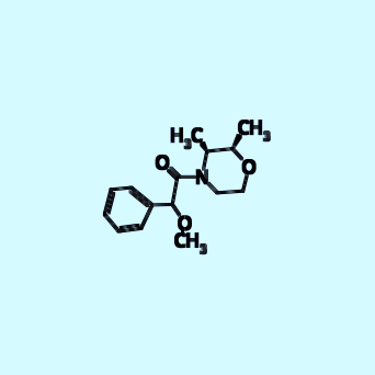 COC(C(=O)N1CCO[C@H](C)[C@@H]1C)c1ccccc1